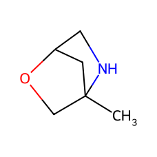 CC12COC(CN1)C2